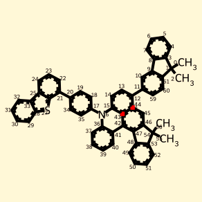 CC1(C)c2ccccc2-c2cc(-c3ccc(N(c4ccc(-c5cccc6c5sc5ccccc56)cc4)c4ccccc4-c4cccc5c4-c4ccccc4C5(C)C)cc3)ccc21